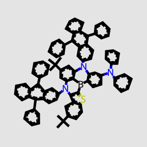 CC(C)(C)c1cc2c3c(c1)N(c1ccc4c(-c5ccccc5)c5ccccc5c(-c5ccccc5)c4c1)c1c(sc4ccc(C(C)(C)C)cc14)B3c1ccc(N(c3ccccc3)c3ccccc3)cc1N2c1ccc2c(-c3ccccc3)c3ccccc3c(-c3ccccc3)c2c1